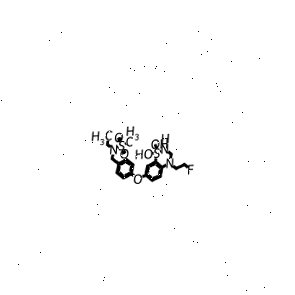 CCN(Cc1ccc(Oc2ccc3c(c2)S(O)(O)NCN3CCF)cc1)S(C)(=O)=O